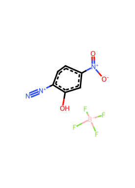 F[B-](F)(F)F.N#[N+]c1ccc([N+](=O)[O-])cc1O